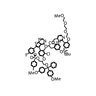 COCCOCCOCCOc1ccccc1-c1nccc(COc2ccc(O[Si](C)(C)C(C)(C)C)cc2CC(Oc2ncnc3sc(-c4ccc(F)cc4)c(-c4ccc(OC(COC(c5ccccc5)(c5ccc(OC)cc5)c5ccc(OC)cc5)COS(=O)(=O)c5ccc(C)cc5)c(Cl)c4C)c23)C(=O)O)n1